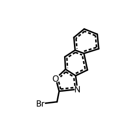 BrCc1nc2cc3ccccc3cc2o1